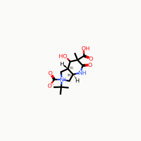 CC1(C(=O)O)C(=O)N[C@H]2C[N+](C(=O)[O-])(C(C)(C)C)C[C@@H]2C1O